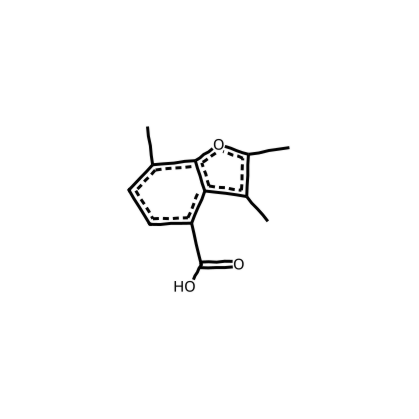 Cc1oc2c(C)ccc(C(=O)O)c2c1C